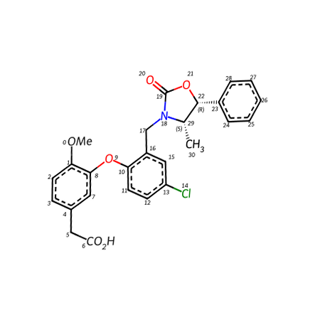 COc1ccc(CC(=O)O)cc1Oc1ccc(Cl)cc1CN1C(=O)O[C@H](c2ccccc2)[C@@H]1C